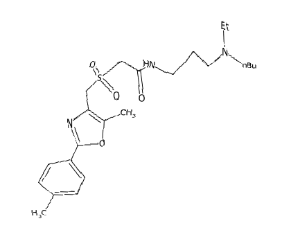 CCCCN(CC)CCCNC(=O)CS(=O)(=O)Cc1nc(-c2ccc(C)cc2)oc1C